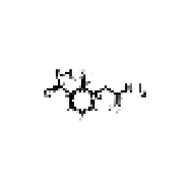 NC(=O)Cn1cccc(C(N)=O)c1=S